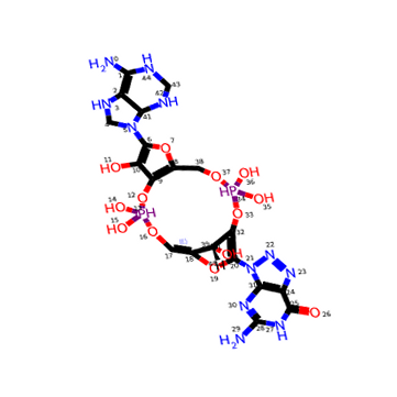 NC1=C2NCN(c3oc4c(c3O)O[PH](O)(O)O/C=C3/OC(n5nnc6c(=O)[nH]c(N)nc65)=C(O[PH](O)(O)OC4)[C@@H]3O)C2NCN1